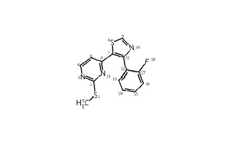 CSc1nccc(-c2scnc2-c2ccccc2F)n1